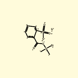 CC[Si](C)(C)OC(=O)c1ccccc1S(=O)(=O)[O-].[Li+]